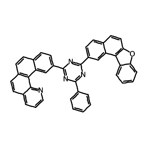 c1ccc(-c2nc(-c3ccc4ccc5oc6ccccc6c5c4c3)nc(-c3ccc4ccc5ccc6cccnc6c5c4c3)n2)cc1